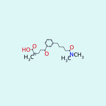 C[C@@H](CCC(=O)c1cccc(CCCCC(=O)N(C)C)c1)C(=O)O